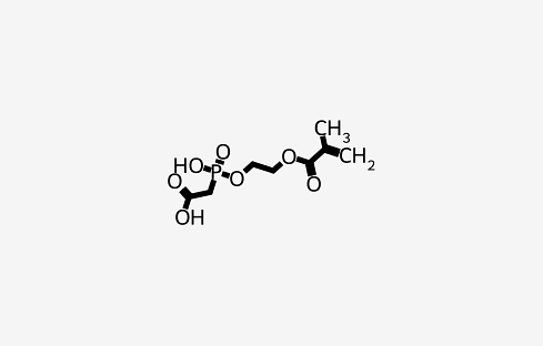 C=C(C)C(=O)OCCOP(=O)(O)CC(=O)O